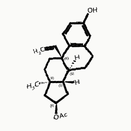 C=C[C@]12CC[C@]3(C)C[C@H](OC(C)=O)C[C@H]3[C@@H]1CCc1cc(O)ccc12